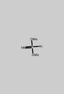 COP(=N)(OC)C(C)=O